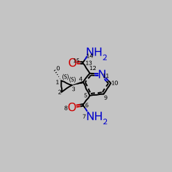 C[C@H]1C[C@@H]1c1c(C(N)=O)ccnc1C(N)=O